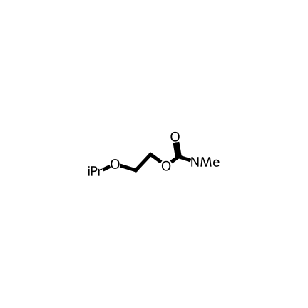 CNC(=O)OCCOC(C)C